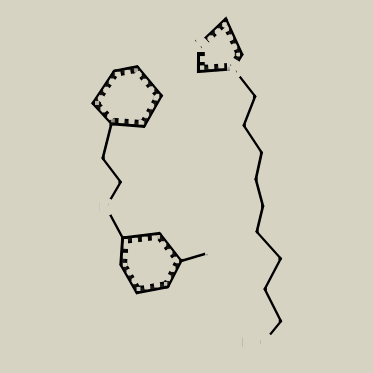 CCCCCCCCCCn1ccnc1.Fc1cccc(BCCc2ccccc2)c1